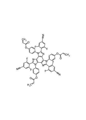 C=CC(=O)Oc1ccc(-n2c(-c3c(F)cc(C#N)cc3F)nc3c2c2nc(-c4c(F)cc(C#N)cc4F)n(-c4ccc(OC(=O)C=C)cc4)c2c2nc(-c4c(F)cc(C#N)cc4F)n(-c4ccc(OC(=O)C=C)cc4)c32)cc1